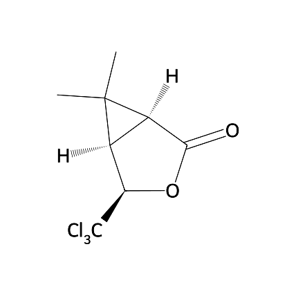 CC1(C)[C@@H]2[C@H](C(Cl)(Cl)Cl)OC(=O)[C@@H]21